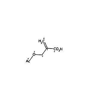 C=C(COC(C)=O)C(=O)O